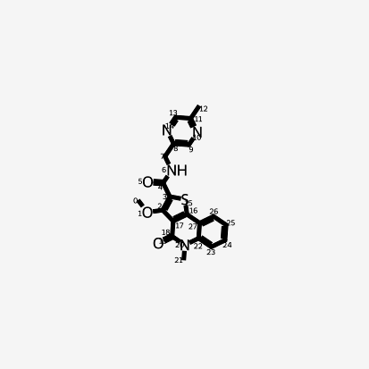 COc1c(C(=O)NCc2cnc(C)cn2)sc2c1c(=O)n(C)c1ccccc21